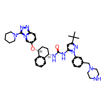 CC(C)(C)c1cc(NC(=O)N[C@H]2CC[C@@H](Oc3ccc4nnc(N5CCCCC5)n4c3)c3ccccc32)n(-c2cccc(CN3CCNCC3)c2)n1